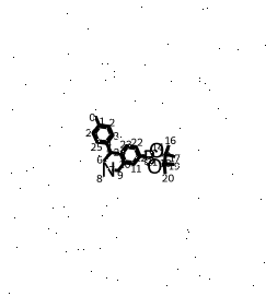 Cc1ccc(C2CN(C)Cc3cc(B4OC(C)(C)C(C)(C)O4)ccc32)cc1